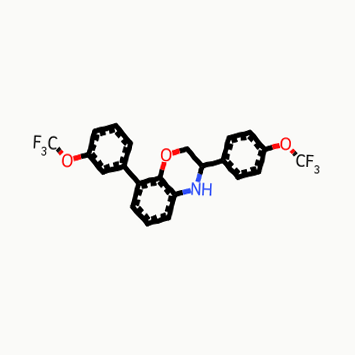 FC(F)(F)Oc1ccc(C2COc3c(cccc3-c3cccc(OC(F)(F)F)c3)N2)cc1